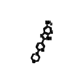 Nc1cnc2[nH]c(-c3ccc(N4CCOCC4)nc3)nc2c1